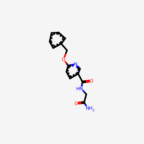 NC(=O)CNC(=O)c1ccc(OCc2ccccc2)nc1